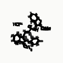 CO[C@H]1Cc2ccccc2[C@H]1NC(=O)C=Cc1c(-c2ccccc2)n(C)c2ncccc12.Cl